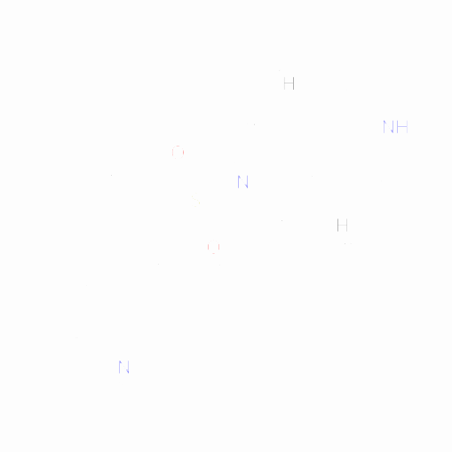 O=S(=O)(c1cccc2cnccc12)N1C[C@H]2CNC[C@H]2C1